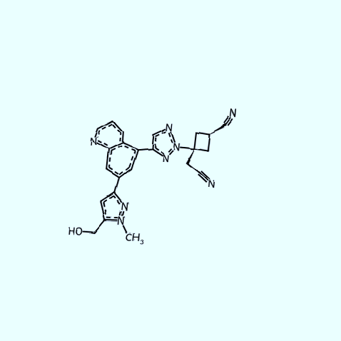 Cn1nc(-c2cc(-c3cnn([C@]4(CC#N)C[C@@H](C#N)C4)n3)c3cccnc3c2)cc1CO